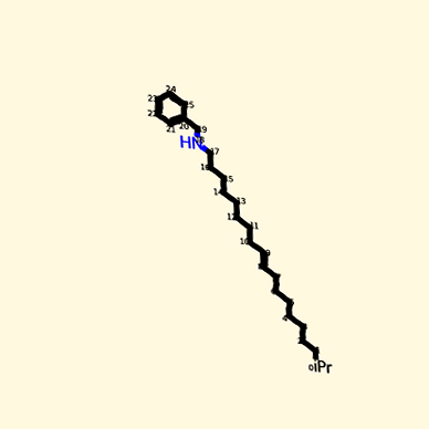 CC(C)CCCCCCCC=CCCCCCCCCNCc1ccccc1